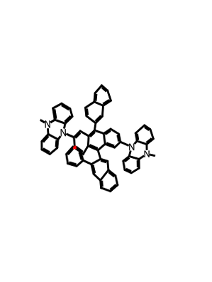 CN1c2ccccc2N(c2ccc3c(-c4cc5ccccc5cc4-c4ccccc4)c4cc(N5c6ccccc6N(C)c6ccccc65)ccc4c(-c4ccc5ccccc5c4)c3c2)c2ccccc21